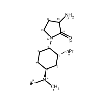 CCC[C@@H]1C[C@@H](N(C)C(C)C)CC[C@@H]1N1CCC(N)C1=O